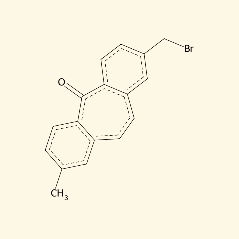 Cc1ccc2c(=O)c3ccc(CBr)cc3ccc2c1